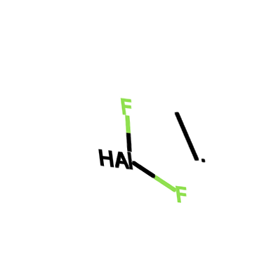 [CH2]C.[F][AlH][F]